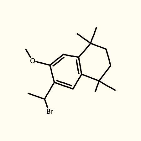 COc1cc2c(cc1C(C)Br)C(C)(C)CCC2(C)C